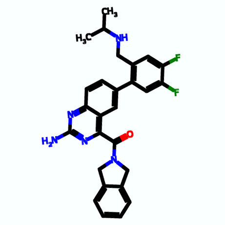 CC(C)NCc1cc(F)c(F)cc1-c1ccc2nc(N)nc(C(=O)N3Cc4ccccc4C3)c2c1